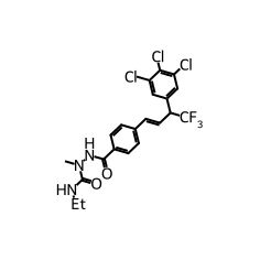 CCNC(=O)N(C)NC(=O)c1ccc(/C=C/C(c2cc(Cl)c(Cl)c(Cl)c2)C(F)(F)F)cc1